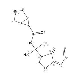 CC(C)(NC(=O)C1C2CNCC21)C1COc2ccccc21